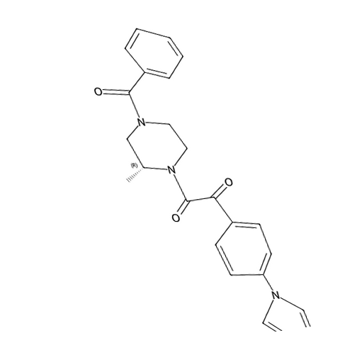 C[C@@H]1CN(C(=O)c2ccccc2)CCN1C(=O)C(=O)c1ccc(-n2ccnc2)cc1